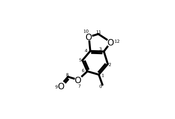 Cc1cc2c(cc1OC=O)OCO2